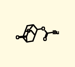 CCC(C)C(=O)OC1C2CC3CC(C2)C(=O)OC1C3